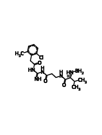 BN[C@H](C(=O)NCCC(=O)NC(=N)NC(=O)Cc1c(C)cccc1Cl)C(C)C